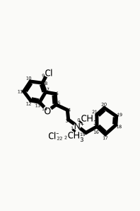 C[N+](C)(CCc1cc2c(Cl)cccc2o1)Cc1ccccc1.[Cl-]